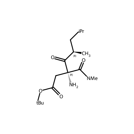 CNC(=O)[C@@](N)(CC(=O)OC(C)(C)C)C(=O)[C@H](C)CC(C)C